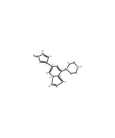 Cn1cc(-c2cc(N3CCOCC3)c3ccnn3c2)cn1